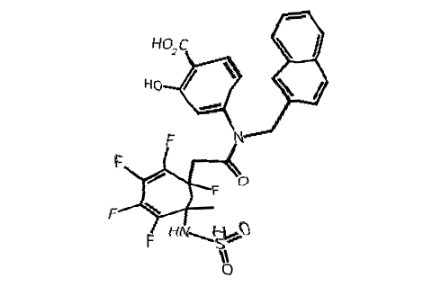 CC1(N[SH](=O)=O)C(F)=C(F)C(F)=C(F)C1(F)CC(=O)N(Cc1ccc2ccccc2c1)c1ccc(C(=O)O)c(O)c1